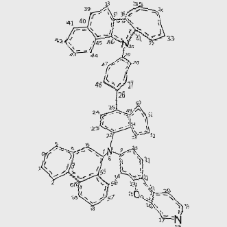 c1ccc2c(c1)cc(N(c1ccc3c(c1)oc1cnccc13)c1ccc(-c3ccc(-n4c5ccccc5c5ccc6ccccc6c54)cc3)c3ccccc13)c1ccccc12